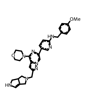 COc1ccc(CNc2ccc(-c3cn4nc(CN5CC6=CNCC6C5)cc4c(N4CCOCC4)n3)cn2)cc1